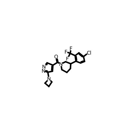 O=C(c1cnnc(N2CCC2)c1)N1CCCC(c2ccc(Cl)cc2C(F)(F)F)C1